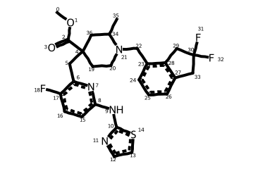 COC(=O)C1(Cc2nc(Nc3nccs3)ccc2F)CCN(Cc2cccc3c2CC(F)(F)C3)C(C)C1